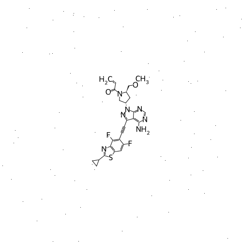 C=CC(=O)N1C[C@@H](n2nc(C#Cc3c(F)cc4sc(C5CC5)nc4c3F)c3c(N)ncnc32)C[C@@H]1COC